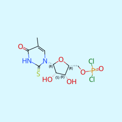 Cc1cn([C@@H]2O[C@H](COP(=O)(Cl)Cl)[C@H](O)[C@@H]2O)c(=S)[nH]c1=O